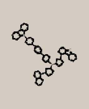 c1cc(-c2cccc3ccccc23)cc(N(c2ccc(-c3ccc(-c4ccc(-n5c6ccccc6c6ccccc65)cc4)cc3)cc2)c2cccc(-c3cccc4oc5ccccc5c34)c2)c1